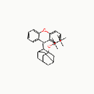 CC(C)(C)[Si](C)(C)OC12CC3CC(CC(C3)C1=C1c3ccccc3Oc3ccccc31)C2